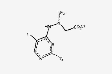 CCOC(=O)CN(Nc1nc(Cl)ncc1F)C(C)(C)C